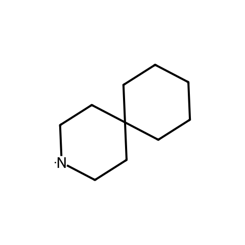 C1CCC2(CC1)CC[N]CC2